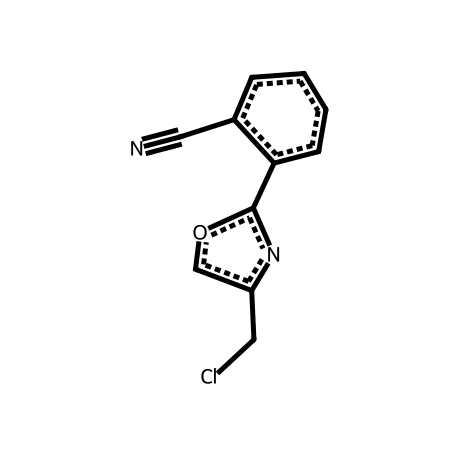 N#Cc1ccccc1-c1nc(CCl)co1